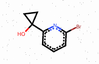 OC1(c2cccc(Br)n2)CC1